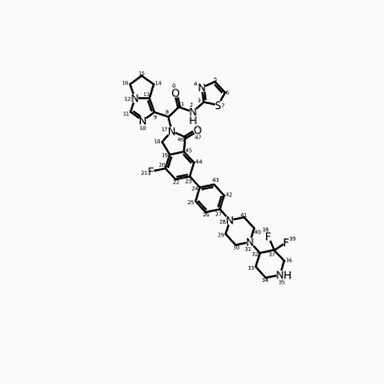 O=C(Nc1nccs1)C(c1ncn2c1CCC2)N1Cc2c(F)cc(-c3ccc(N4CCN(C5CCNCC5(F)F)CC4)cc3)cc2C1=O